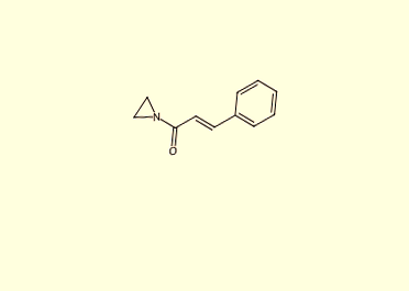 O=C(/C=C/c1ccccc1)N1CC1